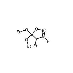 CCO[Si](OCC)(OCC)C(CC)NF